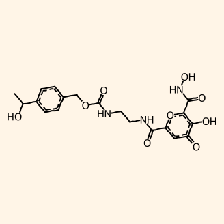 CC(O)c1ccc(COC(=O)NCCNC(=O)c2cc(=O)c(O)c(C(=O)NO)o2)cc1